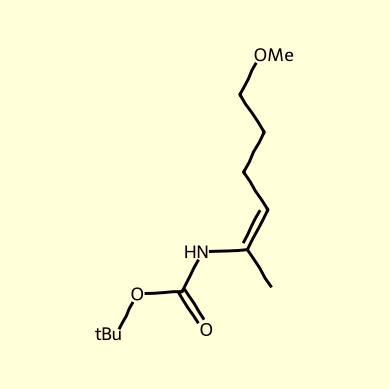 COCCC/C=C(/C)NC(=O)OC(C)(C)C